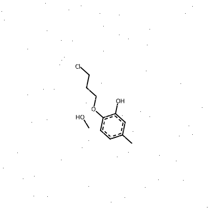 CO.Cc1ccc(OCCCCl)c(O)c1